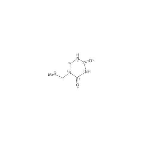 CSCN1CNC(=O)NC1=O